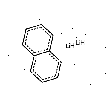 [LiH].[LiH].c1ccc2ccccc2c1